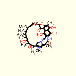 COC1C=COC2(C)Oc3c(C)c(O)c4c(O)c(c(/C=N/N5CCN(C)CC5)c(O)c4c3C2=O)NC(=O)C(C)=CC=CC(C)C(O)C(C)C(O)C(C)C(OC(C)=O)C1C